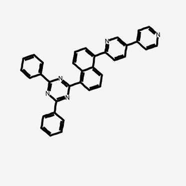 c1ccc(-c2nc(-c3ccccc3)nc(-c3cccc4c(-c5ccc(-c6ccncc6)cn5)cccc34)n2)cc1